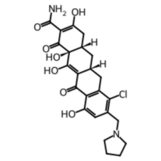 NC(=O)C1=C(O)C[C@@H]2C[C@@H]3Cc4c(Cl)c(CN5CCCC5)cc(O)c4C(=O)C3=C(O)[C@]2(O)C1=O